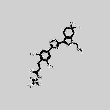 CCn1nc(-c2nc(-c3cc(C)c(CCC(=O)NS(C)(=O)=O)c(C)c3)no2)c2c1CC(C)(C)CC2